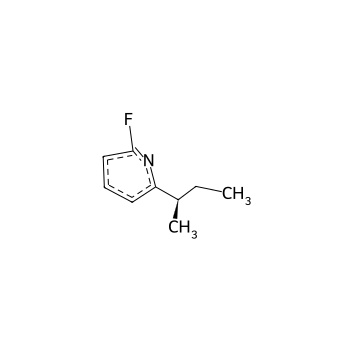 CC[C@@H](C)c1cccc(F)n1